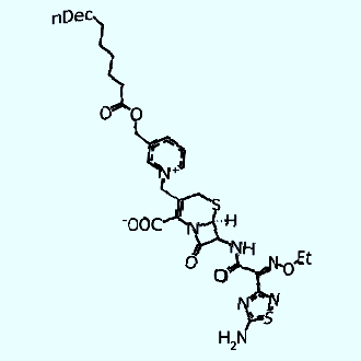 CCCCCCCCCCCCCCCC(=O)OCc1ccc[n+](CC2=C(C(=O)[O-])N3C(=O)C(NC(=O)C(=NOCC)c4nsc(N)n4)[C@@H]3SC2)c1